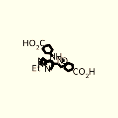 CCn1ncc2c(NC3CCC(C(=O)O)CC3)c(C3=NOC4(CCC(C(=O)O)CC4)C3)cnc21